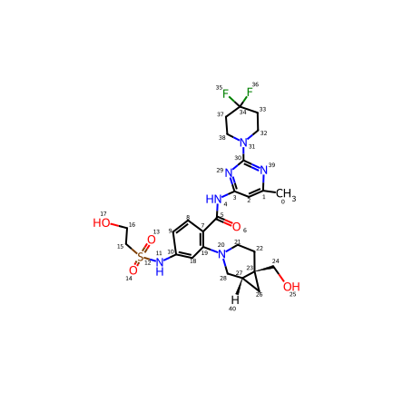 Cc1cc(NC(=O)c2ccc(NS(=O)(=O)CCO)cc2N2CC[C@]3(CO)C[C@@H]3C2)nc(N2CCC(F)(F)CC2)n1